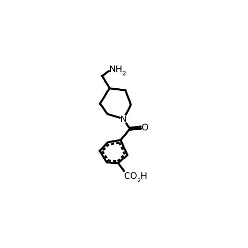 NCC1CCN(C(=O)c2cccc(C(=O)O)c2)CC1